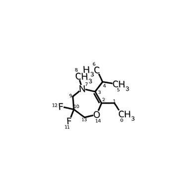 CCC1=C(C(C)C)N(C)CC(F)(F)CO1